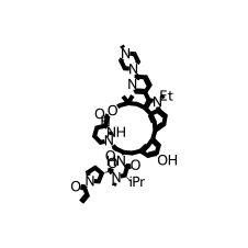 C=CC(=O)N1CC[C@H](C(=O)N(C)[C@H](C(=O)N[C@H]2Cc3cc(O)cc(c3)-c3ccc4c(c3)c(c(-c3ccc(N5CCN(C)CC5)nc3)n4CC)CC(C)(C)COC(=O)[C@@H]3CCCN(N3)C2=O)C(C)C)C1